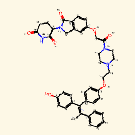 CC/C(=C(\c1ccc(O)cc1)c1ccc(OCCN2CCN(C(=O)COc3ccc4c(c3)CN(C3CCC(=O)NC3=O)C4=O)CC2)cc1)c1ccccc1